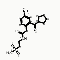 CS(=O)(=O)CCNC(=O)Cc1ccc(N)cc1C(=O)C1CCCC1